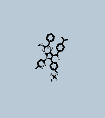 COC(=O)[C@H](OC1=C(C(=O)c2ccc(C(C)C)cc2)C(c2ccc(OC(F)(F)F)cc2)N(c2ccc(C)nn2)C1=O)c1ccccc1